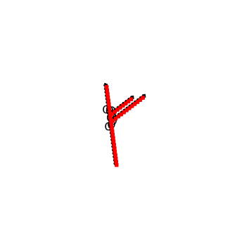 CCCCCCCCCCCCCCCCCCCCCCCC(=O)OCC(COCC(COC(=O)CCCCCCCCCCCCCCC)OC(=O)CCCCCCCCCCCCCCC)OC(=O)CCCCCCCCCCCCCCCCCCCCCCC